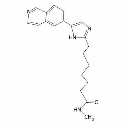 CNC(=O)CCCCCCc1ncc(-c2ccc3cnccc3c2)[nH]1